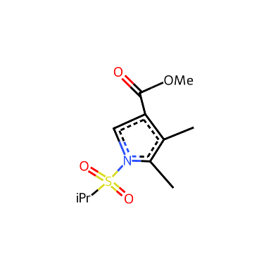 COC(=O)c1cn(S(=O)(=O)C(C)C)c(C)c1C